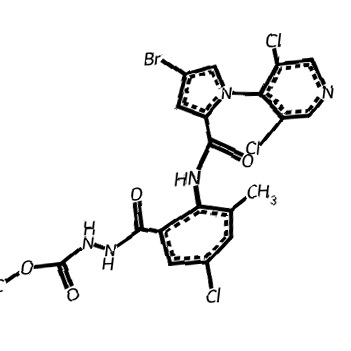 COC(=O)NNC(=O)c1cc(Cl)cc(C)c1NC(=O)c1cc(Br)cn1-c1c(Cl)cncc1Cl